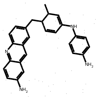 CC1C=C(Nc2ccc(N)cc2)C=CC1Cc1ccc2nc3ccc(N)cc3cc2c1